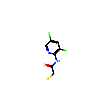 O=C(CS)Nc1ncc(Cl)cc1Cl